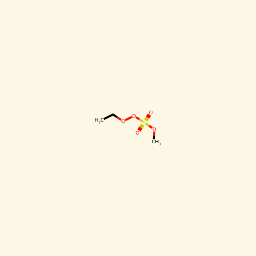 CCOOS(=O)(=O)OC